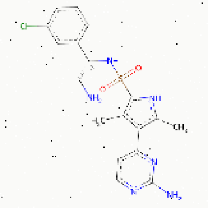 Cc1[nH]c(S(=O)(=O)N[C@H](CN)c2cccc(Cl)c2)c(C)c1-c1ccnc(N)n1